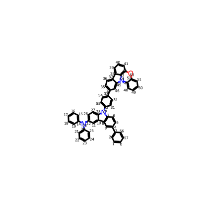 c1ccc(-c2ccc3c(c2)c2cc(N(c4ccccc4)c4ccccc4)ccc2n3-c2ccc(-c3ccc4c5cccc6c5n(c4c3)-c3ccccc3O6)cc2)cc1